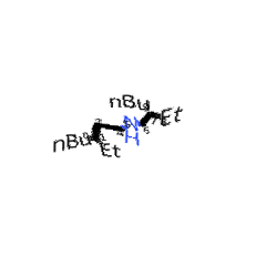 CCCCC(CC)CCNCC(CC)CCCC